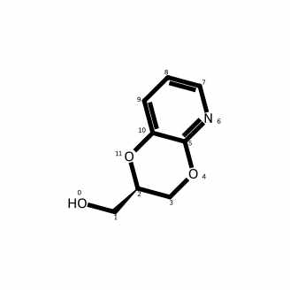 OC[C@@H]1COc2ncccc2O1